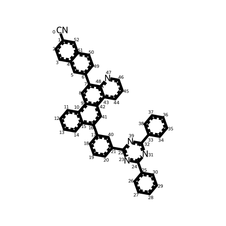 N#Cc1ccc2cc(-c3cc4c5ccccc5c(-c5cccc(-c6nc(-c7ccccc7)nc(-c7ccccc7)n6)c5)cc4c4cccnc34)ccc2c1